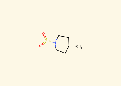 CC1CCN([SH](=O)=O)CC1